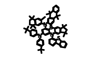 Cc1cc2c(cc1N1c3cc4c(cc3B3c5cc6c(cc5N(c5cccc7c5sc5ccccc57)c5cc(N(c7ccc(C(C)(C)C)cc7)c7ccc(C(C)(C)C)cc7)cc1c53)C(C)(C)CC6(C)C)C(C)(C)c1ccccc1C4(C)C)C(C)(C)CCC2(C)C